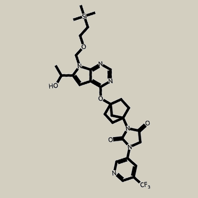 CC(O)c1cc2c(OC34CCC(N5C(=O)CN(c6cncc(C(F)(F)F)c6)C5=O)(CC3)C4)ncnc2n1COCC[Si](C)(C)C